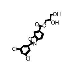 O=C(OCC(O)CO)c1ccc2nc(-c3cc(Cl)cc(Cl)c3)oc2c1